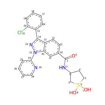 O=C(NC1CCS(O)(O)C1)c1ccc2c(-c3ccccc3Cl)nn(-c3ccccn3)c2c1